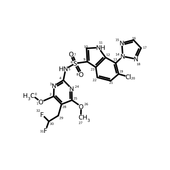 COc1nc(NS(=O)(=O)c2c[nH]c3c(-n4nccn4)c(Cl)ccc23)nc(OC)c1CC(F)F